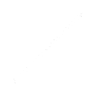 O=C(O)CCCCCCCCCCCCCCCCCCCSSSSCCCCCCCCCCCCCCCCCCCC(=O)O